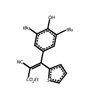 CCOC(=O)C(C#N)=C(c1cc(C(C)(C)C)c(O)c(C(C)(C)C)c1)c1cccs1